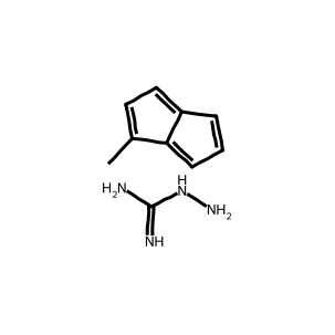 CC1=CC=C2C=CC=C12.N=C(N)NN